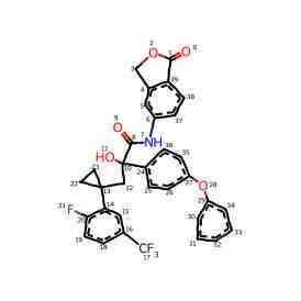 O=C1OCc2cc(NC(=O)C(O)(CC3(c4cc(C(F)(F)F)ccc4F)CC3)c3ccc(Oc4ccccc4)cc3)ccc21